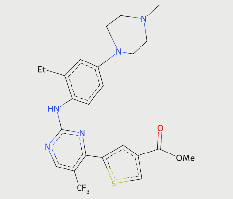 CCc1cc(N2CCN(C)CC2)ccc1Nc1ncc(C(F)(F)F)c(-c2cc(C(=O)OC)cs2)n1